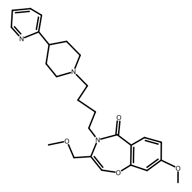 COCC1=COc2cc(OC)ccc2C(=O)N1CCCCN1CCC(c2ccccn2)CC1